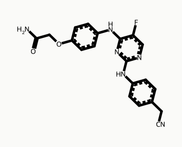 N#CCc1ccc(Nc2ncc(F)c(Nc3ccc(OCC(N)=O)cc3)n2)cc1